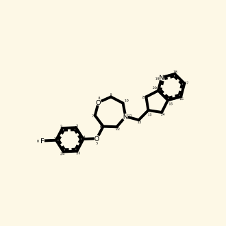 Fc1ccc(OC2COCCN(CC3Cc4cccnc4C3)C2)cc1